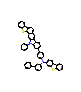 c1ccc(-c2cccc(N(c3ccc(-c4ccc5c6cc7ccc8c9ccccc9sc8c7cc6n(-c6ccccc6)c5c4)cc3)c3ccc4c(c3)sc3ccccc34)c2)cc1